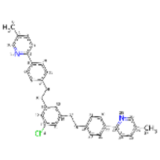 Cc1ccc(-c2ccc(CCc3cc(Cl)cc(CCc4ccc(-c5ccc(C)cn5)cc4)c3)cc2)nc1